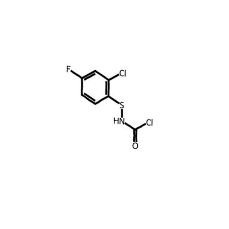 O=C(Cl)NSc1ccc(F)cc1Cl